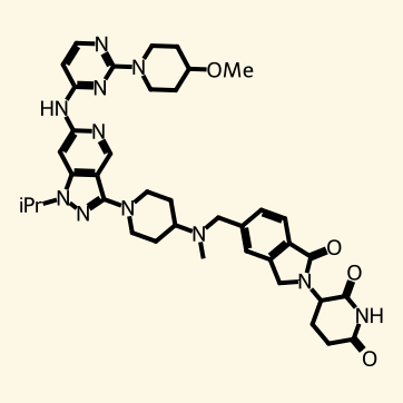 COC1CCN(c2nccc(Nc3cc4c(cn3)c(N3CCC(N(C)Cc5ccc6c(c5)CN(C5CCC(=O)NC5=O)C6=O)CC3)nn4C(C)C)n2)CC1